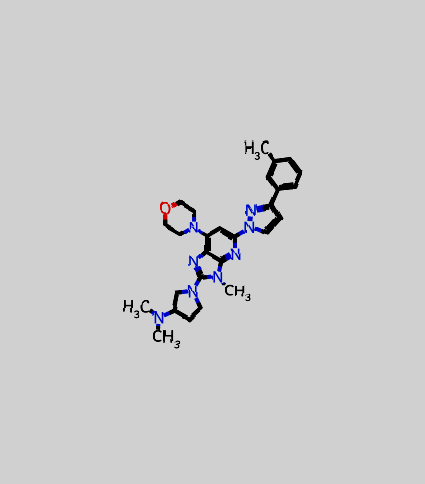 Cc1cccc(-c2ccn(-c3cc(N4CCOCC4)c4nc(N5CCC(N(C)C)C5)n(C)c4n3)n2)c1